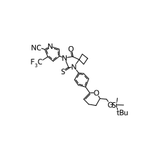 CC(C)(C)[Si](C)(C)OCC1CCC=C(c2ccc(N3C(=S)N(c4cnc(C#N)c(C(F)(F)F)c4)C(=O)C34CCC4)cc2)O1